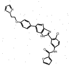 O=C(Nc1ccc(Cl)c(-c2nc3ncc(-c4ccc(OCCn5cccn5)cc4)cc3[nH]2)c1)c1ccco1